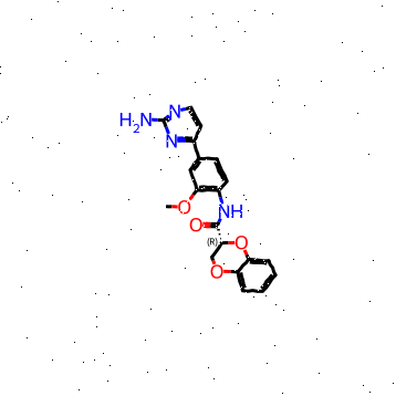 COc1cc(-c2ccnc(N)n2)ccc1NC(=O)[C@H]1COc2ccccc2O1